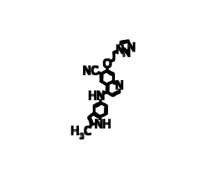 Cc1cc2cc(Nc3ccnc4cc(OCCn5ccnn5)c(C#N)cc34)ccc2[nH]1